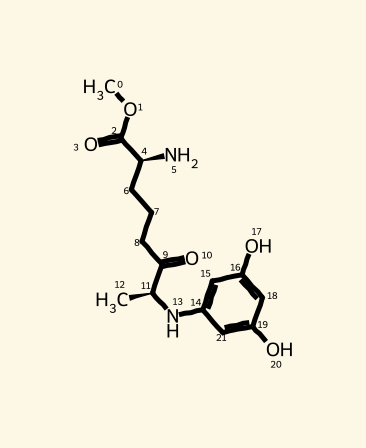 COC(=O)[C@@H](N)CCCC(=O)[C@H](C)Nc1cc(O)cc(O)c1